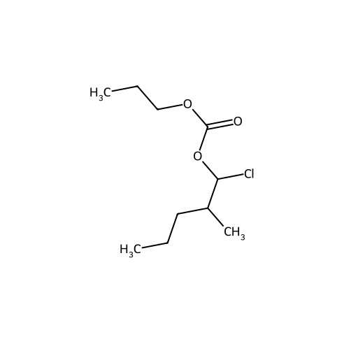 CCCOC(=O)OC(Cl)C(C)CCC